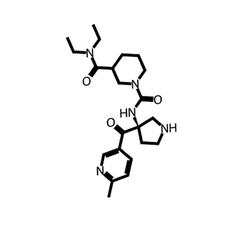 CCN(CC)C(=O)C1CCCN(C(=O)N[C@]2(C(=O)c3ccc(C)nc3)CCNC2)C1